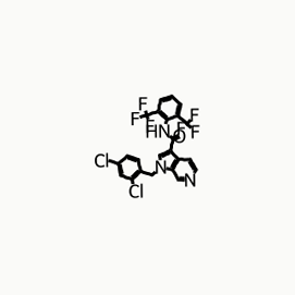 O=C(Nc1c(C(F)(F)F)cccc1C(F)(F)F)c1cn(Cc2ccc(Cl)cc2Cl)c2cnccc12